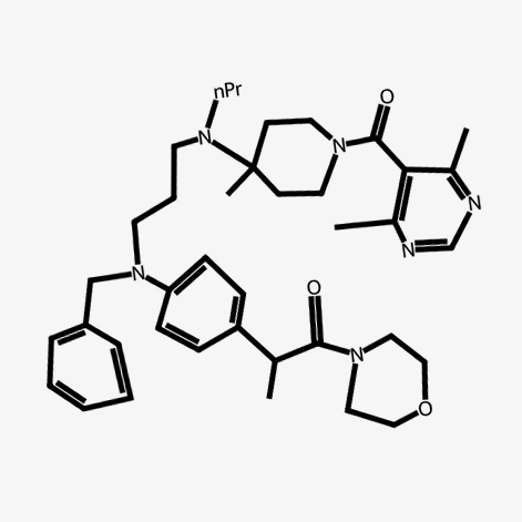 CCCN(CCCN(Cc1ccccc1)c1ccc(C(C)C(=O)N2CCOCC2)cc1)C1(C)CCN(C(=O)c2c(C)ncnc2C)CC1